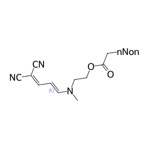 CCCCCCCCCCC(=O)OCCN(C)/C=C/C=C(C#N)C#N